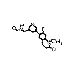 CN1C(=O)CCc2cc(-c3cncc(CNC=O)c3)c(F)cc21